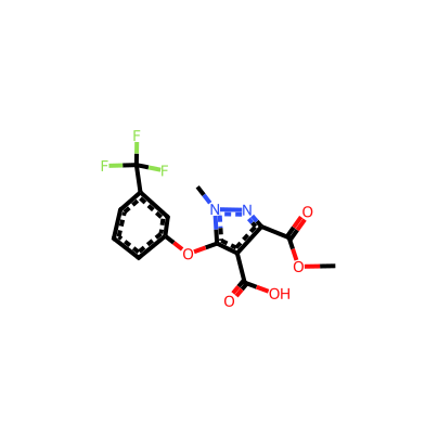 COC(=O)c1nn(C)c(Oc2cccc(C(F)(F)F)c2)c1C(=O)O